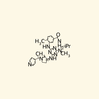 Cc1ccc(C(N)=O)cc1Nc1nc(N[C@H]2CCN(C(C)c3ccncc3)C2)nc(N(C)CC(C)C)n1